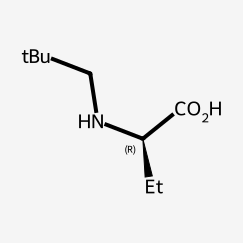 CC[C@@H](NCC(C)(C)C)C(=O)O